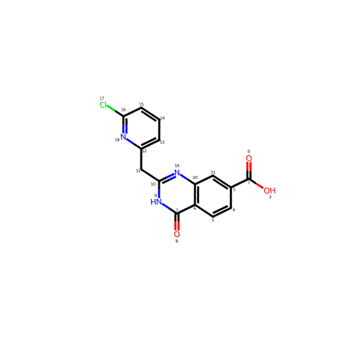 O=C(O)c1ccc2c(=O)[nH]c(Cc3cccc(Cl)n3)nc2c1